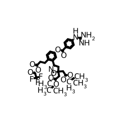 CC(C)(C)OC(=O)CC1(CC(=O)OC(C)(C)C)CC(c2cc(OC(=O)c3ccc(NC(=N)N)cc3)ccc2CCC(=O)OC(=O)C(F)(F)F)=NO1